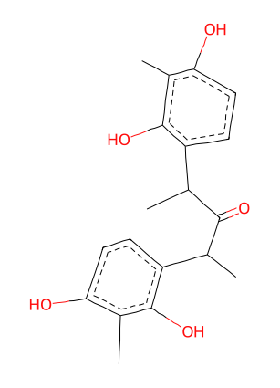 Cc1c(O)ccc(C(C)C(=O)C(C)c2ccc(O)c(C)c2O)c1O